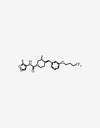 Cc1oncc1NC(=O)N1CCC(=Cc2cccc(OCCCC(F)(F)F)c2)C(C)C1